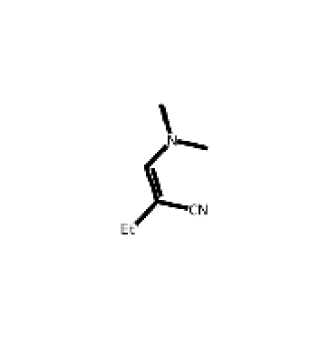 CC/C(C#N)=C/N(C)C